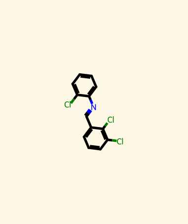 Clc1ccccc1/N=C/c1cccc(Cl)c1Cl